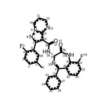 Cc1ccc(F)c(-c2nn3cccnc3c2C(=O)N[C@H]2N=C(c3ccccc3)c3cccc(F)c3NC2=O)c1